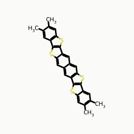 Cc1cc2sc3c4cc5cc6sc7c8cc(C)c(C)cc8sc7c6cc5cc4sc3c2cc1C